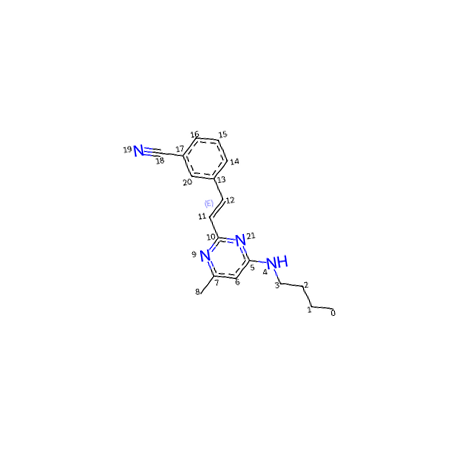 CCCCNc1cc(C)nc(/C=C/c2cccc(C#N)c2)n1